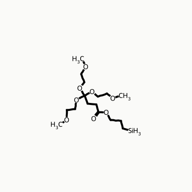 COCCOC(CCC(=O)OCCC[SiH3])(OCCOC)OCCOC